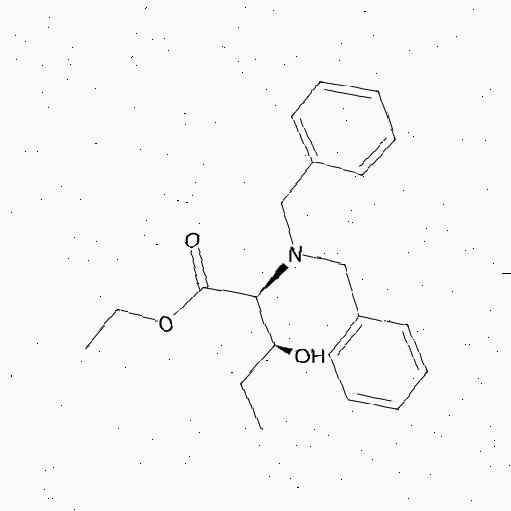 CCOC(=O)[C@H]([C@@H](O)CC)N(Cc1ccccc1)Cc1ccccc1